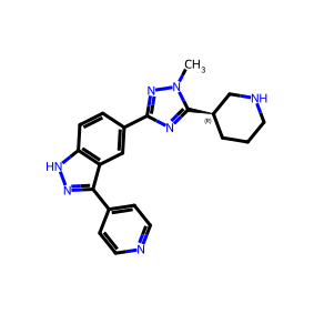 Cn1nc(-c2ccc3[nH]nc(-c4ccncc4)c3c2)nc1[C@@H]1CCCNC1